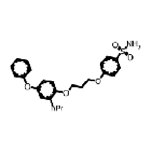 CCCc1cc(Oc2ccccc2)ccc1OCCCOc1ccc(S(N)(=O)=O)cc1